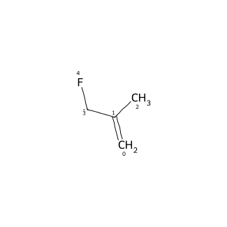 C=C(C)[CH]F